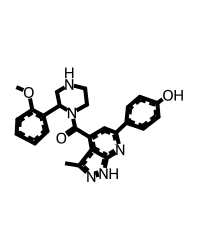 COc1ccccc1C1CNCCN1C(=O)c1cc(-c2ccc(O)cc2)nc2[nH]nc(C)c12